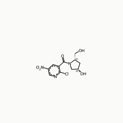 O=C(c1cc([N+](=O)[O-])cnc1Cl)N1C[C@H](O)C[C@H]1CO